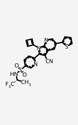 C[C@@H](NS(=O)(=O)c1ccc(-c2c(C#N)c3cc(-c4cccs4)cnc3n2C2=CC=C2)nc1)C(F)(F)F